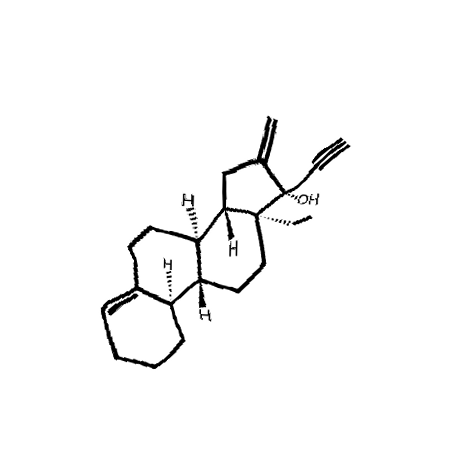 C#C[C@]1(O)C(=C)C[C@H]2[C@@H]3CCC4=CCCC[C@@H]4[C@H]3CC[C@@]21CC